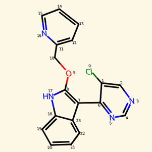 Clc1cncnc1-c1c(OCc2ccccn2)[nH]c2ccccc12